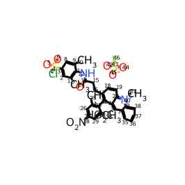 Cc1cc(S(=O)(=O)Cl)cc(C)c1NC(=O)CCc1ccc2c(c1-c1c(C)cc([N+](=O)[O-])cc1C)c(C(=O)O)c1ccccc1[n+]2C.O=S(=O)([O-])F